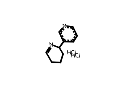 C1=NC(c2cccnc2)CCC1.Cl.Cl